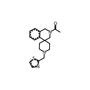 CC(=O)N1Cc2ccccc2C2(CCN(Cc3nccs3)CC2)C1